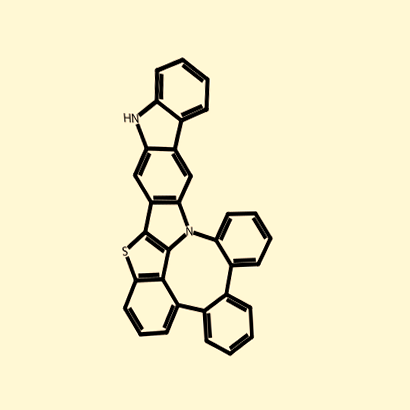 c1ccc2c(c1)[nH]c1cc3c4sc5cccc6c7ccccc7c7ccccc7n(c3cc12)c4c56